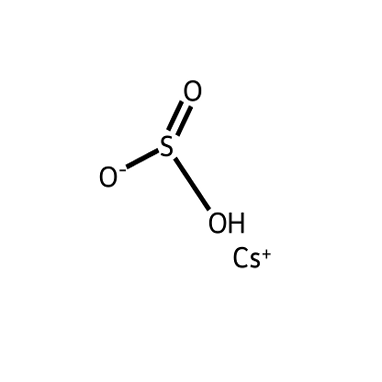 O=S([O-])O.[Cs+]